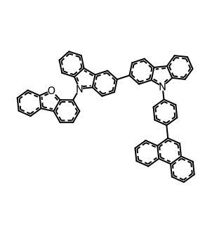 c1ccc2c(c1)cc(-c1ccc(-n3c4ccccc4c4ccc(-c5ccc6c(c5)c5ccccc5n6-c5cccc6c5oc5ccccc56)cc43)cc1)c1ccccc12